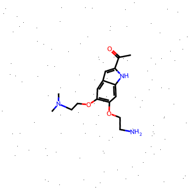 CC(=O)c1cc2cc(OCCN(C)C)c(OCCN)cc2[nH]1